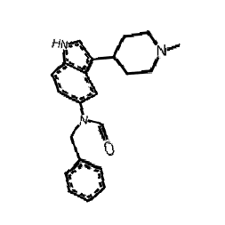 CN1CCC(c2c[nH]c3ccc(N(C=O)Cc4ccccc4)cc23)CC1